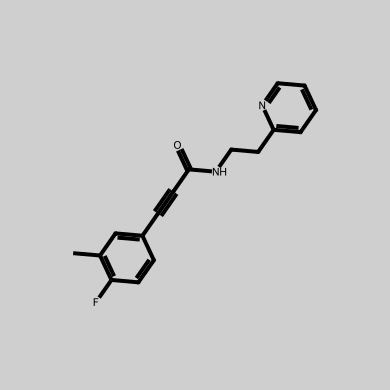 Cc1cc(C#CC(=O)NCCc2ccccn2)ccc1F